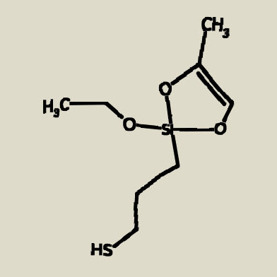 CCO[Si]1(CCCS)OC=C(C)O1